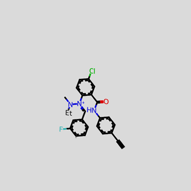 C#Cc1ccc(NC(=O)c2cc(Cl)ccc2[N+](=Cc2cc[c]c(F)c2)N(C)CC)cc1